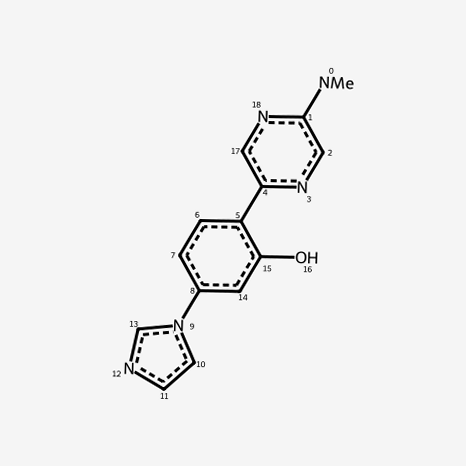 CNc1cnc(-c2ccc(-n3ccnc3)cc2O)cn1